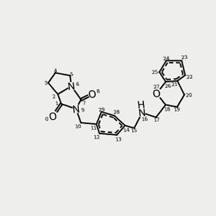 O=C1C2CCCN2C(=O)N1Cc1ccc(CNCC2CCc3ccccc3O2)cc1